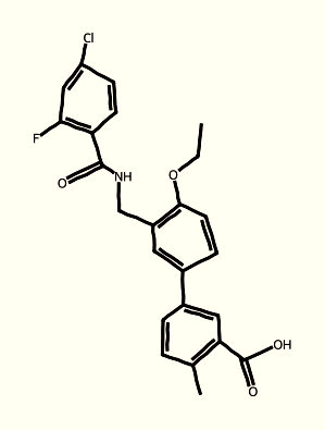 CCOc1ccc(-c2ccc(C)c(C(=O)O)c2)cc1CNC(=O)c1ccc(Cl)cc1F